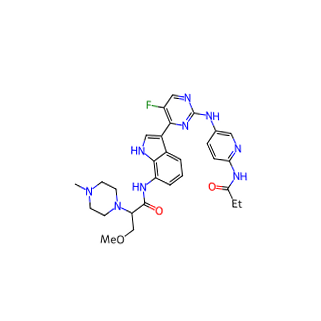 CCC(=O)Nc1ccc(Nc2ncc(F)c(-c3c[nH]c4c(NC(=O)C(COC)N5CCN(C)CC5)cccc34)n2)cn1